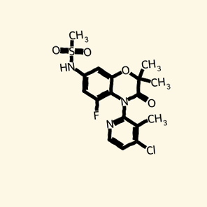 Cc1c(Cl)ccnc1N1C(=O)C(C)(C)Oc2cc(NS(C)(=O)=O)cc(F)c21